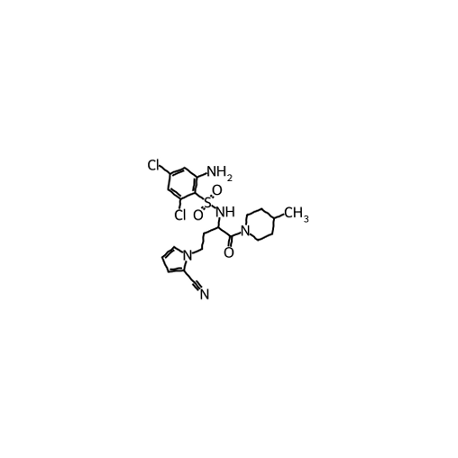 CC1CCN(C(=O)C(CCn2cccc2C#N)NS(=O)(=O)c2c(N)cc(Cl)cc2Cl)CC1